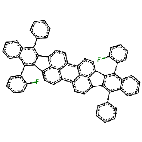 Fc1ccccc1-c1c2c(c(-c3ccccc3)c3ccccc13)-c1ccc3c4ccc5c6c(ccc(c7ccc-2c1c37)c64)-c1c-5c(-c2ccccc2F)c2ccccc2c1-c1ccccc1